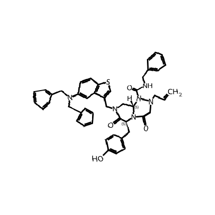 C=CCN1CC(=O)N2[C@@H](Cc3ccc(O)cc3)C(=O)N(Cc3csc4ccc(N(Cc5ccccc5)Cc5ccccc5)cc34)C[C@@H]2N1C(=O)NCc1ccccc1